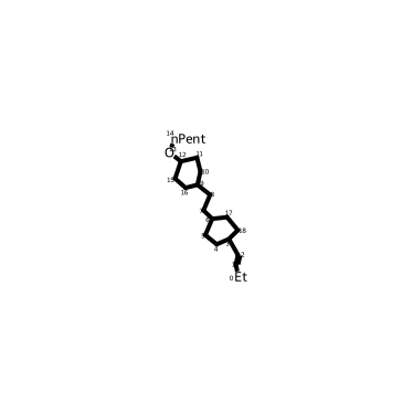 CCC=CC1CCC(CCC2CCC(OCCCCC)CC2)CC1